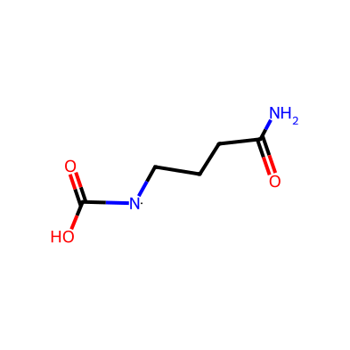 NC(=O)CCC[N]C(=O)O